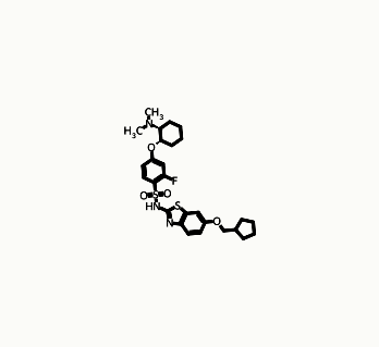 CN(C)[C@H]1CCCC[C@@H]1Oc1ccc(S(=O)(=O)Nc2nc3ccc(OCC4CCCC4)cc3s2)c(F)c1